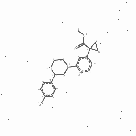 COC(=O)C1(c2cc(N3CCOC(c4ccc(N)cc4)C3)ncn2)CC1